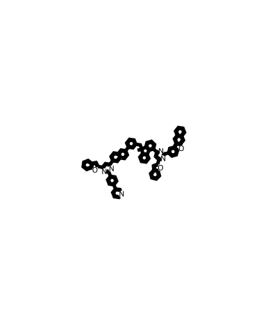 CC1(Cc2cccc(-c3ccc4cc(-c5cc(-c6cc7ccccc7o6)nc(-c6ccc(-c7cccnc7)cc6)n5)ccc4c3)c2)c2ccccc2-c2c(-c3cc(-c4cc5ccccc5o4)nc(-c4ccc5oc6cc7ccccc7cc6c5c4)n3)cccc21